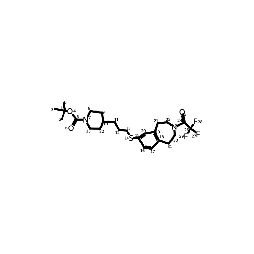 CC(C)(C)OC(=O)N1CCC(CCCSc2ccc3c(c2)CCN(C(=O)C(F)(F)F)CC3)CC1